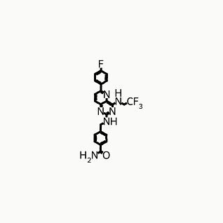 NC(=O)c1ccc(CNc2nc(NCC(F)(F)F)c3nc(-c4ccc(F)cc4)ccc3n2)cc1